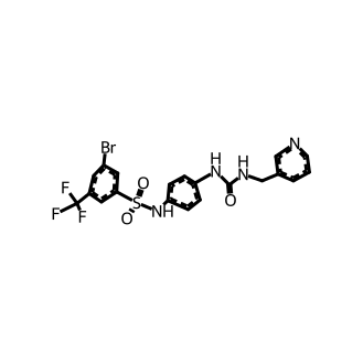 O=C(NCc1cccnc1)Nc1ccc(NS(=O)(=O)c2cc(Br)cc(C(F)(F)F)c2)cc1